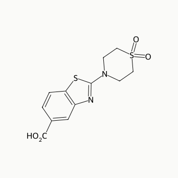 O=C(O)c1ccc2sc(N3CCS(=O)(=O)CC3)nc2c1